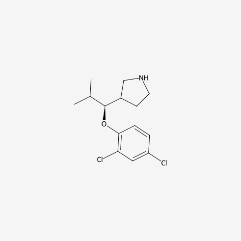 CC(C)[C@H](Oc1ccc(Cl)cc1Cl)C1CCNC1